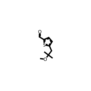 COC(C)(C)Cc1ccc(C=O)s1